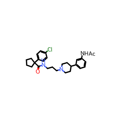 CC(=O)Nc1cccc(C2CCN(CCCNC(=O)C3(c4ccc(Cl)cc4)CCCC3)CC2)c1